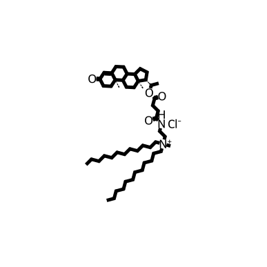 CCCCCCCCCCCC[N+](C)(CCCCCCCCCCCC)CCNC(=O)CCC(=O)OC(C)[C@H]1CCC2C3CCC4=CC(=O)CC[C@]4(C)C3CC[C@@]21C.[Cl-]